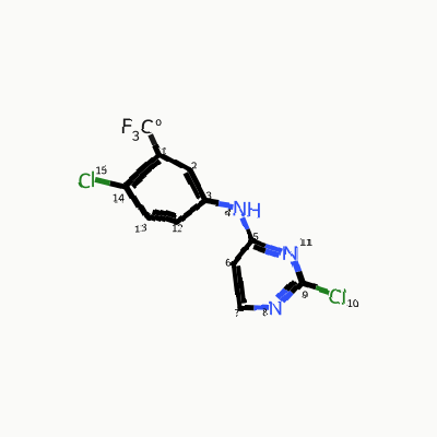 FC(F)(F)c1cc(Nc2ccnc(Cl)n2)ccc1Cl